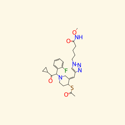 CONC(=O)CCCCn1cc(/C=C2\CN(C(C(=O)C3CC3)c3ccccc3F)CCC2SC(C)=O)nn1